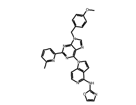 COc1ccc(Cn2cnc3c(-n4ccc5c(Nc6ncco6)nccc54)nc(-c4cccc(C)n4)nc32)cc1